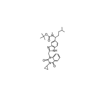 CC(C)CCC(c1ccc2[nH]c(Cn3c(=O)n(C4CC4)c(=O)c4ccccc43)nc2c1)N(C)C(=O)OC(C)(C)C